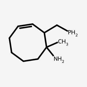 CC1(N)CCCCC=CC1CP